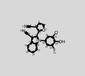 N#Cc1ccoc1-c1c(C#N)c2ccccc2n1-c1cc(F)c(O)c(Cl)c1